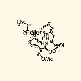 CO/N=C(\C(=O)NC(Cc1cccc(C(=O)O)c1O)B(O)O)c1csc(NC(=O)CN)n1